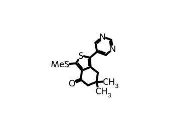 CSc1sc(-c2cncnc2)c2c1C(=O)CC(C)(C)C2